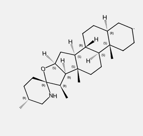 C[C@@H]1CC[C@@]2(NC1)O[C@H]1C[C@H]3[C@@H]4CC[C@H]5C[CH]CC[C@]5(C)[C@H]4CC[C@]3(C)[C@H]1[C@H]2C